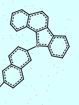 Clc1ccc2cc(-n3c4ccccc4c4ccc5ccccc5c43)ccc2c1